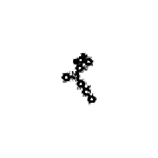 Cc1nc(-c2ccccc2)ccc1-c1ccc(-c2cc(-c3ccc4c(c3)Oc3ccccc3C43c4ccccc4-c4ccccc43)nc(-c3ccccc3)n2)cc1